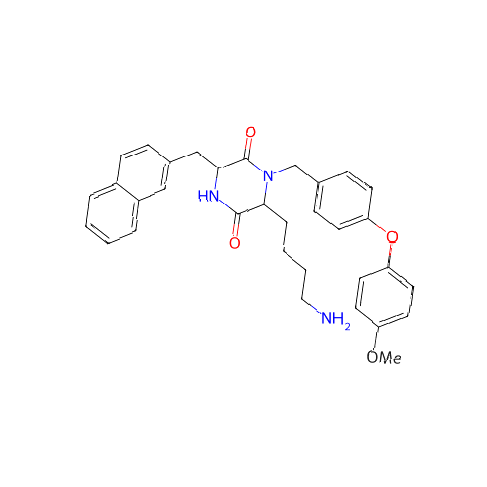 COc1ccc(Oc2ccc(CN3C(=O)C(Cc4ccc5ccccc5c4)NC(=O)C3CCCCN)cc2)cc1